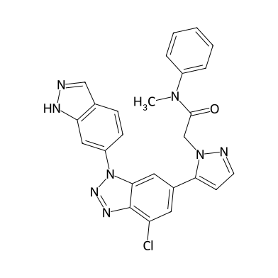 CN(C(=O)Cn1nccc1-c1cc(Cl)c2nnn(-c3ccc4cn[nH]c4c3)c2c1)c1ccccc1